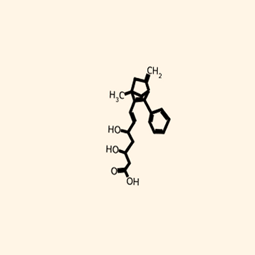 C=C1CC2(C)CC1C(c1ccccc1)=C2C=CC(O)CC(O)CC(=O)O